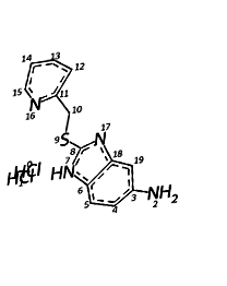 Cl.Cl.Nc1ccc2[nH]c(SCc3ccccn3)nc2c1